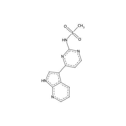 CS(=O)(=O)Nc1nccc(-c2c[nH]c3ncccc23)n1